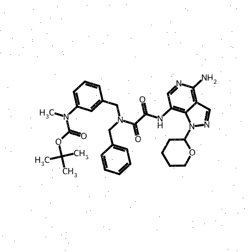 CN(C(=O)OC(C)(C)C)c1cccc(CN(Cc2ccccc2)C(=O)C(=O)Nc2cnc(N)c3cnn(C4CCCCO4)c23)c1